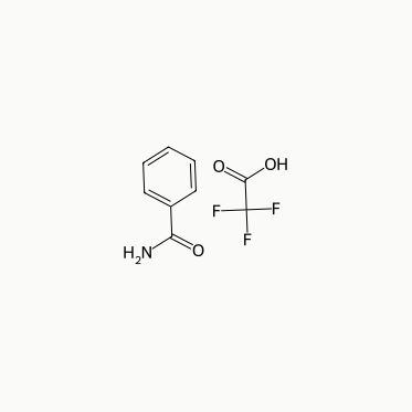 NC(=O)c1ccccc1.O=C(O)C(F)(F)F